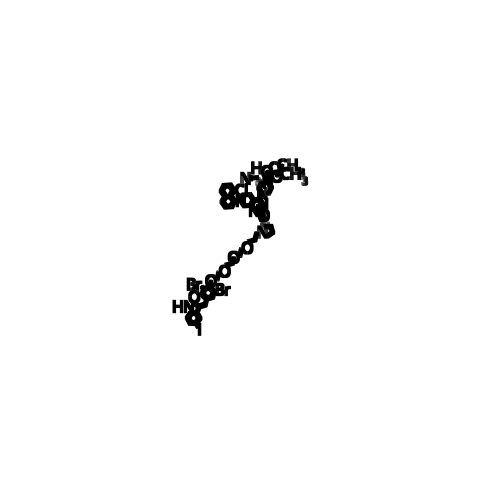 CC(C)(C)OC(=O)N1CCN(c2nc(OC[C@@H]3CCCN3CCCOCCOCCOCCOc3c(Br)cc(C=C4C(=O)Nc5ccc(I)cc54)cc3Br)nc3c2CCN(c2cccc4cccc(Cl)c24)C3)C[C@@H]1CC#N